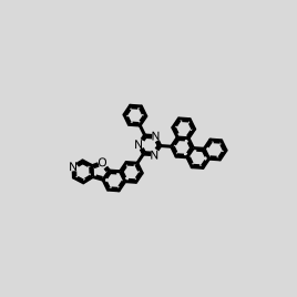 c1ccc(-c2nc(-c3ccc4ccc5c6ccncc6oc5c4c3)nc(-c3cc4ccc5ccccc5c4c4ccccc34)n2)cc1